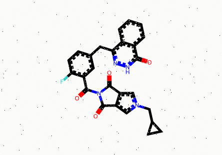 O=C(c1cc(Cc2n[nH]c(=O)c3ccccc23)ccc1F)N1C(=O)c2cn(CC3CC3)cc2C1=O